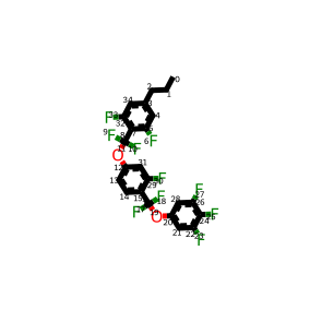 CCCc1cc(F)c(C(F)(F)Oc2ccc(C(F)(F)Oc3cc(F)c(F)c(F)c3)c(F)c2)c(F)c1